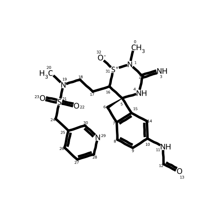 CN1C(=N)N[C@@]2(Cc3ccc(NC=O)cc32)C(CCN(C)S(=O)(=O)Cc2cccnc2)[S+]1[O-]